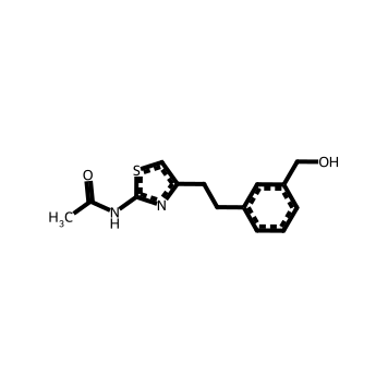 CC(=O)Nc1nc(CCc2cccc(CO)c2)cs1